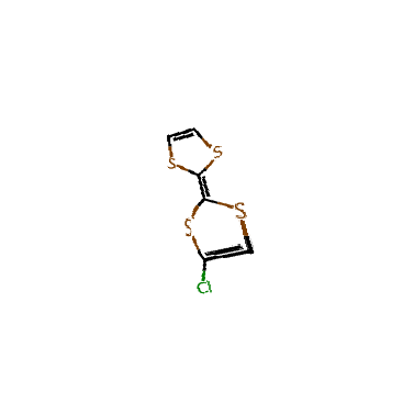 ClC1=CSC(=C2SC=CS2)S1